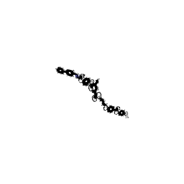 CCC(CC(C)C(=O)OCCCCOc1ccc(C(=O)Oc2ccc(OC)cc2)cc1)C(=O)Oc1ccc(OC(=O)/C=C/c2ccc(-c3ccccc3)cc2)cc1